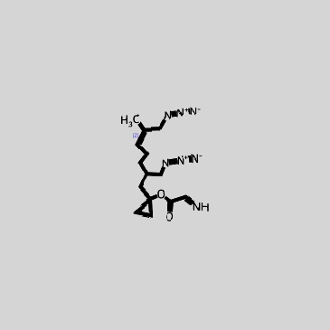 C/C(=C/CCC(CN=[N+]=[N-])CC1(OC(=O)C=N)CC1)CN=[N+]=[N-]